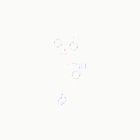 Cc1cc(OCCCn2ccnc2)ccc1NC(=O)COc1ccc(Cl)cc1C(=O)c1ccccc1